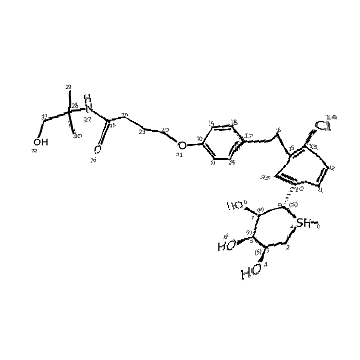 C[SH]1C[C@@H](O)[C@@H](O)[C@@H](O)[C@@H]1c1ccc(Cl)c(Cc2ccc(OCCCC(=O)NC(C)(C)CO)cc2)c1